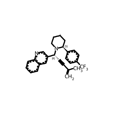 C=C(C)C#C[C@H](c1cnc2ccccc2c1)N1CC[CH]C[C@H]1c1ccc(C(F)(F)F)cc1